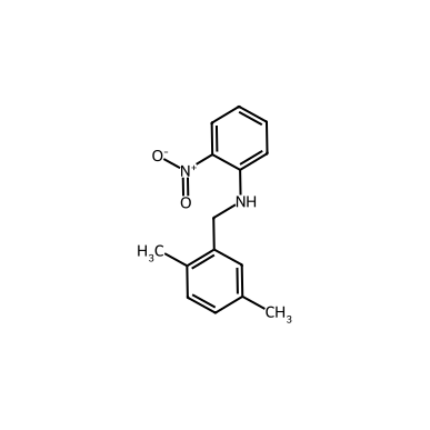 Cc1ccc(C)c(CNc2ccccc2[N+](=O)[O-])c1